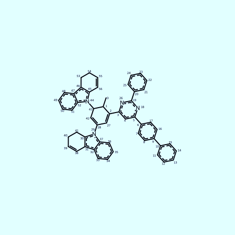 CC1C(c2cc(-c3ccc(-c4ccccc4)cc3)nc(-c3ccccc3)n2)=CC(n2c3c(c4ccccc42)C=CCC3)=CC1n1c2c(c3ccccc31)CCC=C2